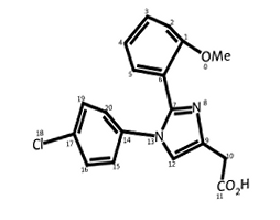 COc1ccccc1-c1nc(CC(=O)O)cn1-c1ccc(Cl)cc1